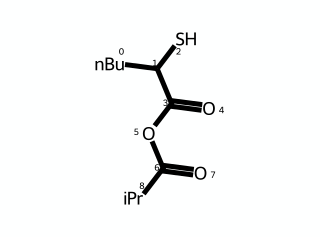 CCCCC(S)C(=O)OC(=O)C(C)C